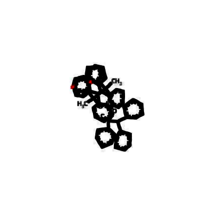 CC(OP(OC(C)(c1ccccc1)C(c1ccccc1)c1ccccc1)OC(C)(c1ccccc1)C(c1ccccc1)c1ccccc1)(c1ccccc1)C(c1ccccc1)c1ccccc1